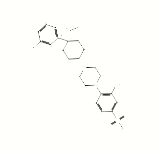 CS(=O)(=O)c1ccc(N2CCN([C@H]3CC[C@](CN)(c4cccc(Cl)c4)CC3)CC2)c(F)c1.Cl.Cl